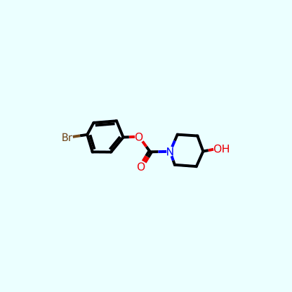 O=C(Oc1ccc(Br)cc1)N1CCC(O)CC1